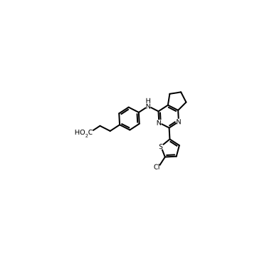 O=C(O)CCc1ccc(Nc2nc(-c3ccc(Cl)s3)nc3c2CCC3)cc1